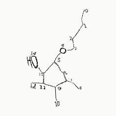 CCCCOC1CC(C)C(C)C(C)C1O